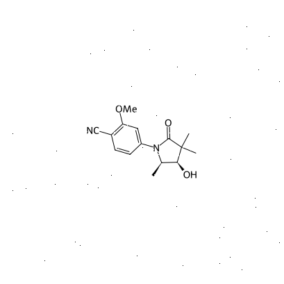 COc1cc(N2C(=O)C(C)(C)[C@@H](O)[C@H]2C)ccc1C#N